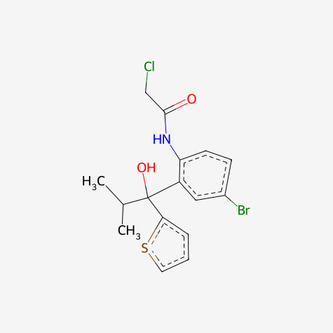 CC(C)C(O)(c1cccs1)c1cc(Br)ccc1NC(=O)CCl